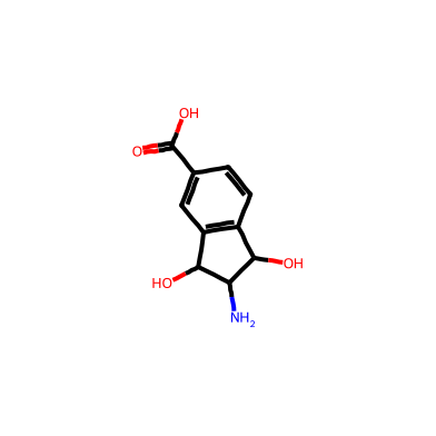 NC1C(O)c2ccc(C(=O)O)cc2C1O